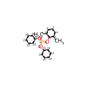 Cc1cccc(C)c1OP(Oc1ccccc1)Oc1ccccc1